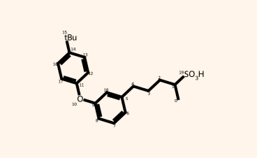 CC(CCCc1cccc(Oc2ccc(C(C)(C)C)cc2)c1)S(=O)(=O)O